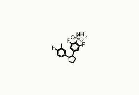 Cc1cc(C2=C(c3cc(F)c(S(N)(=O)=O)c(F)c3)CCC2)ccc1F